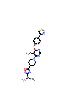 [CH2]c1c(Oc2ccc(-c3csnn3)cc2)ncnc1N1CCC(c2nc(C(C)C)no2)CC1